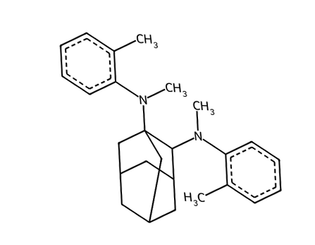 Cc1ccccc1N(C)C1C2CC3CC(C2)CC1(N(C)c1ccccc1C)C3